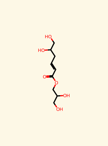 O=C(C=CCC(O)CO)OCC(O)CO